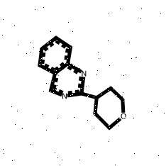 c1ccc2nc(C3CCOCC3)ncc2c1